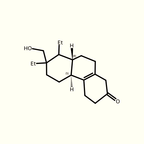 CCC1[C@@H]2CCC3=C(CCC(=O)C3)[C@H]2CCC1(CC)CO